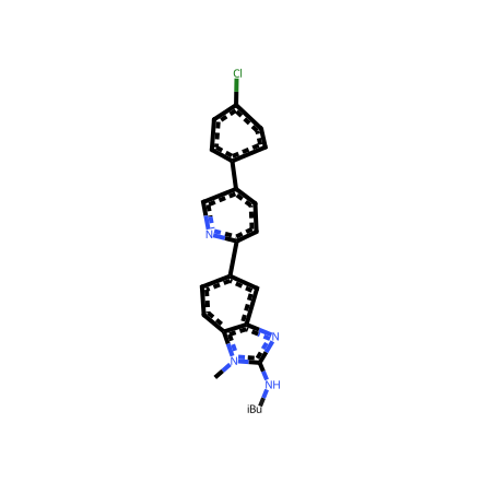 CCC(C)Nc1nc2cc(-c3ccc(-c4ccc(Cl)cc4)cn3)ccc2n1C